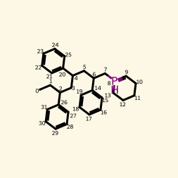 CCC(CC(CC(C[PH]1=CCCCC1)c1ccccc1)c1ccccc1)c1ccccc1